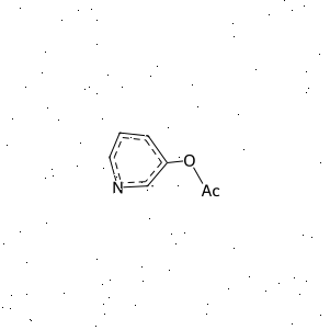 CC(=O)Oc1[c]nccc1